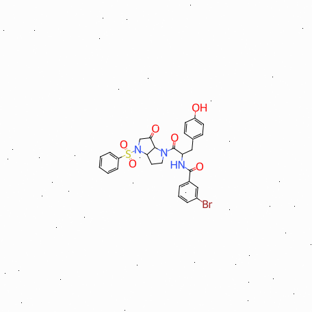 O=C(NC(Cc1ccc(O)cc1)C(=O)N1CCC2C1C(=O)CN2S(=O)(=O)c1ccccc1)c1cccc(Br)c1